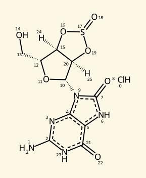 Cl.Nc1nc2c([nH]c(=O)n2[C@@H]2O[C@H](CO)[C@H]3OS(=O)O[C@H]32)c(=O)[nH]1